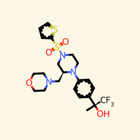 C[C@@](O)(c1ccc(N2CCN(S(=O)(=O)c3cccs3)C[C@@H]2CN2CCOCC2)cc1)C(F)(F)F